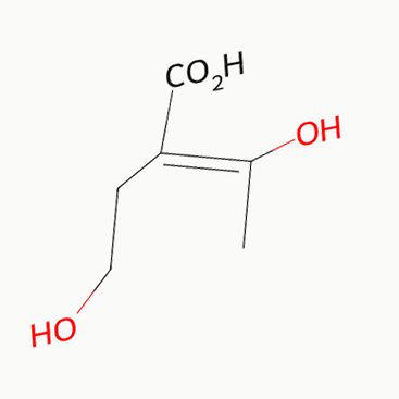 CC(O)=C(CCO)C(=O)O